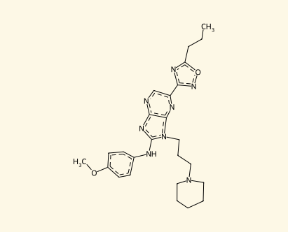 CCCc1nc(-c2cnc3nc(Nc4ccc(OC)cc4)n(CCCN4CCCCC4)c3n2)no1